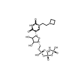 O=c1[nH]c(=O)n(CCN2CCC2)cc1[C@@H]1O[C@H](COP(=O)(O)OP(=O)(O)OP(=O)(O)O)C(O)C1O